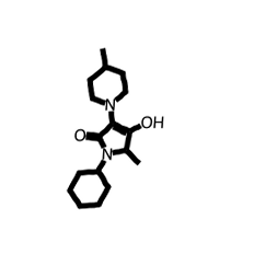 CC1CCN(C2=C(O)C(C)N(C3CCCCC3)C2=O)CC1